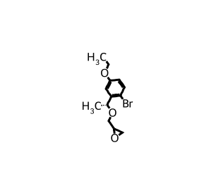 CCOc1ccc(Br)c([C@@H](C)OCC2CO2)c1